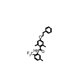 Cc1ccc(C(F)(F)F)c(NC(=O)c2c(C)cc(OCCc3ccccc3)cc2C)c1